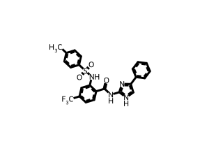 Cc1ccc(S(=O)(=O)Nc2cc(C(F)(F)F)ccc2C(=O)Nc2nc(-c3ccccc3)c[nH]2)cc1